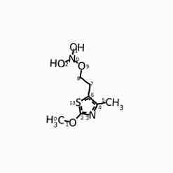 COc1nc(C)c(CCON(O)O)s1